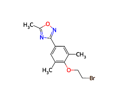 Cc1nc(-c2cc(C)c(OCCBr)c(C)c2)no1